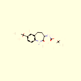 CN1C(=O)C(NC(=O)OC(C)(C)C)CCc2cc(C(C)(O)O)ccc21